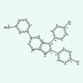 CC(=O)Oc1cccc(-c2cnc3nc(-c4ccc(Cl)cc4)c(-c4ccc(Cl)cc4)n3c2)c1